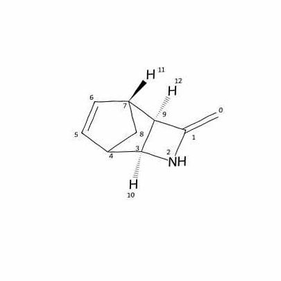 C=C1N[C@H]2C3C=C[C@@H](C3)[C@@H]12